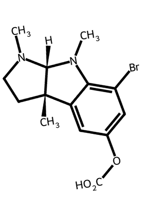 CN1CC[C@@]2(C)c3cc(OC(=O)O)cc(Br)c3N(C)[C@@H]12